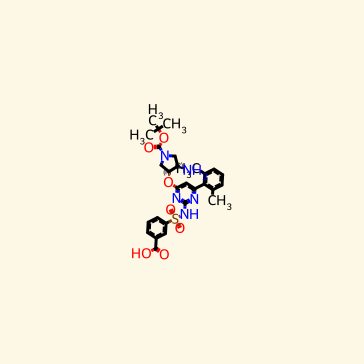 Cc1cccc(C)c1-c1cc(O[C@@H]2CN(C(=O)OC(C)(C)C)C[C@H]2N)nc(NS(=O)(=O)c2cccc(C(=O)O)c2)n1